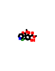 COC(=O)C1=C(O)C=C(Cl)C(C(=O)OC)(c2cccnc2)C1=O